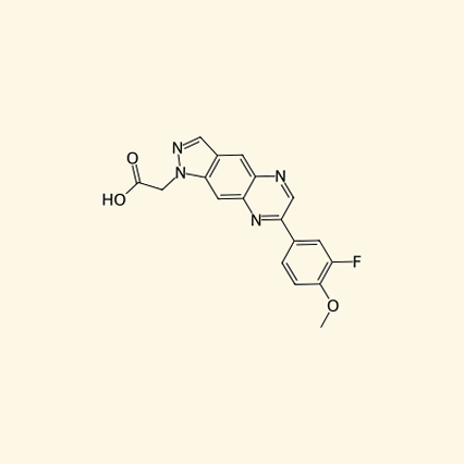 COc1ccc(-c2cnc3cc4cnn(CC(=O)O)c4cc3n2)cc1F